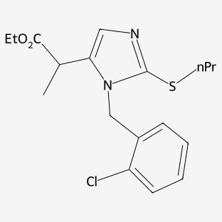 CCCSc1ncc(C(C)C(=O)OCC)n1Cc1ccccc1Cl